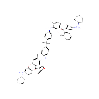 Cc1cc2c(cc1Nc1ccc(C(C)(C)c3ccc(Nc4cc5c(cc4C)Oc4cc(N(C)C6CCCCC6)ccc4C54OC=C5CC=CC=C54)cc3)cc1)C1(OC=C3CC=CC=C31)c1ccc(N(C)C3CCCCC3)cc1O2